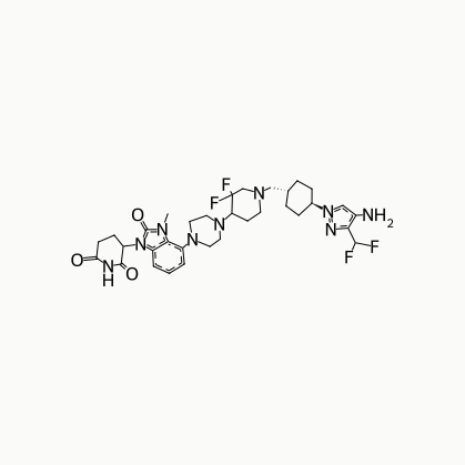 Cn1c(=O)n(C2CCC(=O)NC2=O)c2cccc(N3CCN(C4CCN(C[C@H]5CC[C@H](n6cc(N)c(C(F)F)n6)CC5)CC4(F)F)CC3)c21